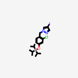 CC(C)[Si](Oc1ccc(Cn2cc(I)cn2)c(Cl)c1)(C(C)C)C(C)C